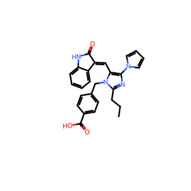 CCCc1nc(-n2cccc2)c(/C=C2/C(=O)Nc3ccccc32)n1Cc1ccc(C(=O)O)cc1